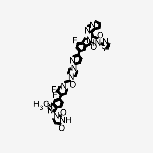 Cn1nc(N2CCC(=O)NC2=O)c2ccc(C3CCN(CC(=O)N4CCN(c5ccc(-c6cc(F)c7c(c6)C(=O)N(C(C(=O)Nc6nccs6)c6ncn8c6CCC8)C7)cn5)CC4)CC3(F)F)cc21